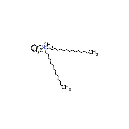 CCCCCCCCCCCCCCCC(CCCCCCCCCCCCCC)[N+](C)(C)Cc1ccccc1